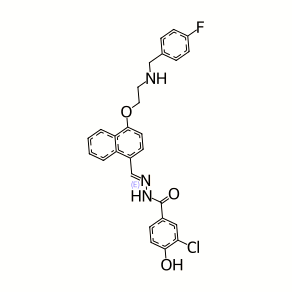 O=C(N/N=C/c1ccc(OCCNCc2ccc(F)cc2)c2ccccc12)c1ccc(O)c(Cl)c1